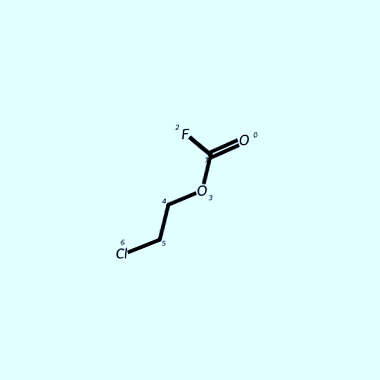 O=C(F)OCCCl